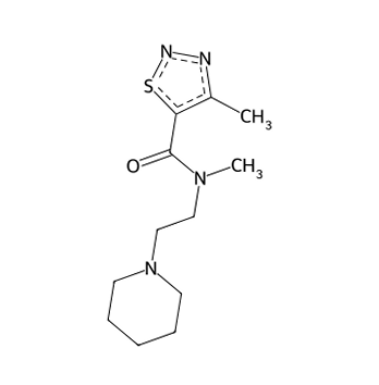 Cc1nnsc1C(=O)N(C)CCN1CCCCC1